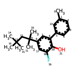 Cc1cccc(-c2cc(C(C)(C)CC(C)(C)C)cc(F)c2O)c1